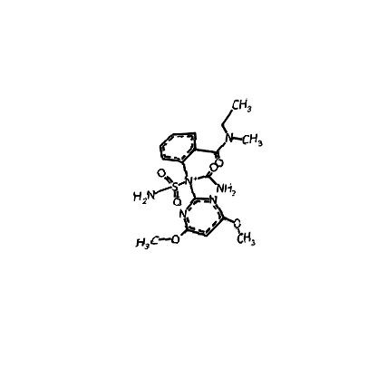 CCN(C)C(=O)c1ccccc1[N+](C(N)=O)(c1nc(OC)cc(OC)n1)S(N)(=O)=O